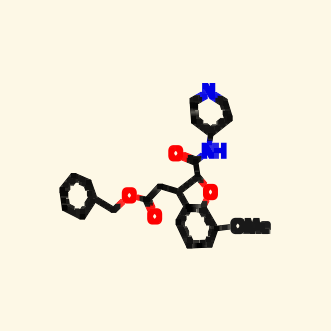 COc1cccc2c1OC(C(=O)Nc1ccncc1)C2CC(=O)OCc1ccccc1